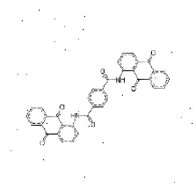 O=C(Nc1cccc2c1C(=O)c1ccccc1C2=O)c1ccc(C(=O)Nc2cccc3c2C(=O)c2ccccc2C3=O)cc1